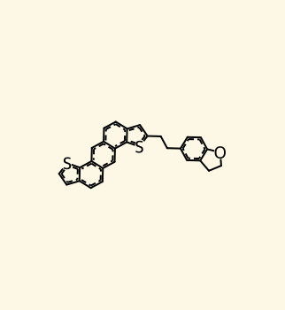 c1cc2ccc3cc4c(ccc5cc(CCc6ccc7c(c6)CCO7)sc54)cc3c2s1